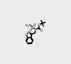 CC(C)(C)OC(=O)N(Cc1noc2ccccc12)S(N)(=O)=O